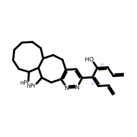 C=C/C=C(\C(O)=C/C=C)c1cc2c(nn1)CC(CCC)C1C(CCC)CCCCCCC1CC2